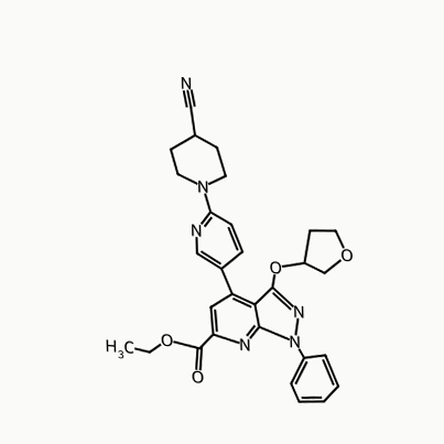 CCOC(=O)c1cc(-c2ccc(N3CCC(C#N)CC3)nc2)c2c(OC3CCOC3)nn(-c3ccccc3)c2n1